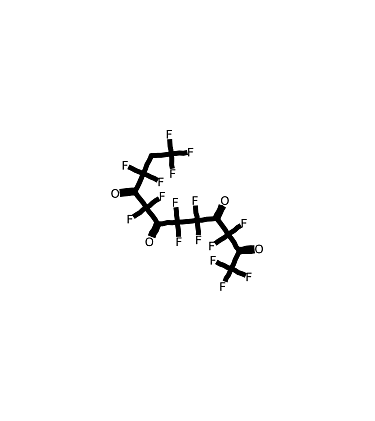 O=C(C(F)(F)F)C(F)(F)C(=O)C(F)(F)C(F)(F)C(=O)C(F)(F)C(=O)C(F)(F)CC(F)(F)F